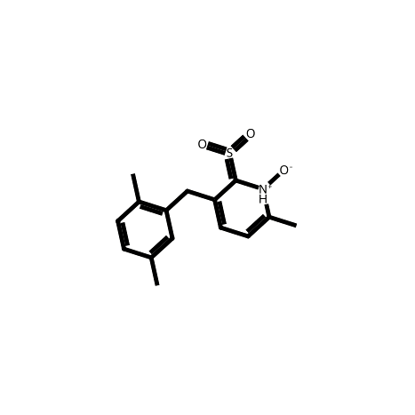 CC1=CC=C(Cc2cc(C)ccc2C)C(=S(=O)=O)[NH+]1[O-]